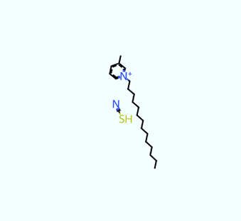 CCCCCCCCCCCCCC[n+]1cccc(C)c1.N#CS